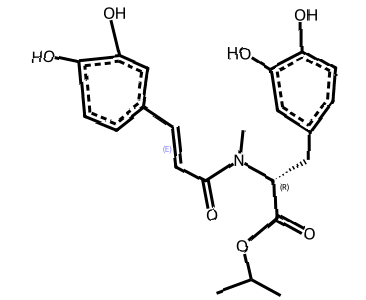 CC(C)OC(=O)[C@@H](Cc1ccc(O)c(O)c1)N(C)C(=O)/C=C/c1ccc(O)c(O)c1